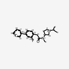 CC(C)N1CCC(N(C)C(=O)Cc2ccc(-c3ccccc3)cc2F)C1